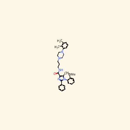 COc1ccccc1-n1c(-c2ccccc2)nc(C(=O)NCCCN2CCN(c3cccc(C)c3C)CC2)c1C